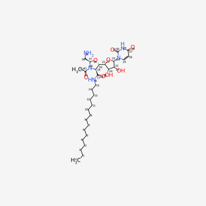 CCCCCCCCCCCCCCCCNC(=O)[C@@H]1[C@@H]([C@H]2O[C@@H](n3ccc(=O)[nH]c3=O)C(O)C2O)O[C@H](CN)N1C(C)=O